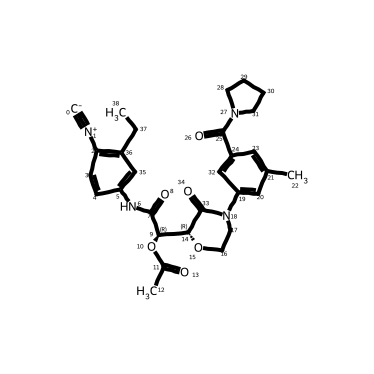 [C-]#[N+]c1ccc(NC(=O)[C@H](OC(C)=O)[C@H]2OCCN(c3cc(C)cc(C(=O)N4CCCC4)c3)C2=O)cc1CC